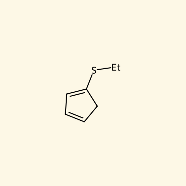 CCSC1=CC=CC1